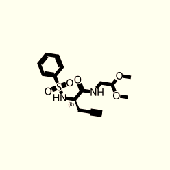 C#CC[C@@H](NS(=O)(=O)c1ccccc1)C(=O)NCC(OC)OC